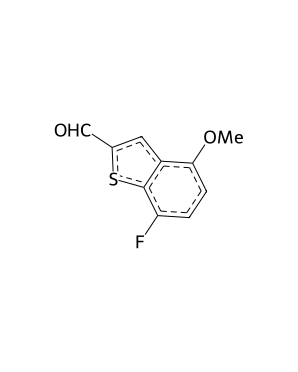 COc1ccc(F)c2sc(C=O)cc12